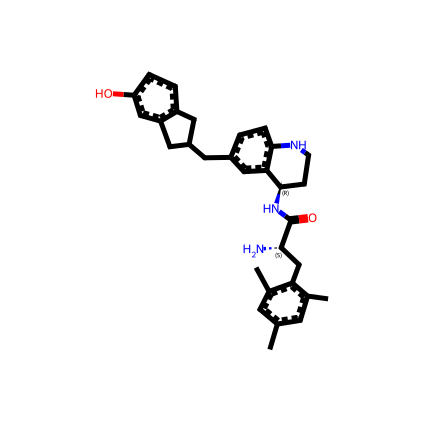 Cc1cc(C)c(C[C@H](N)C(=O)N[C@@H]2CCNc3ccc(CC4Cc5ccc(O)cc5C4)cc32)c(C)c1